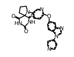 O=C1NC(=O)C2(CCCN2c2ccc(Oc3ccc4c(c3)ncn4-c3ccncc3)nc2)C(=O)N1